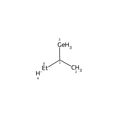 CC[CH](C)[GeH3].[H-]